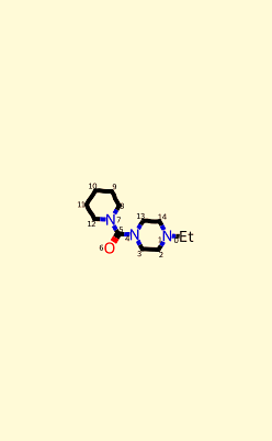 CCN1CCN(C(=O)N2CCCCC2)CC1